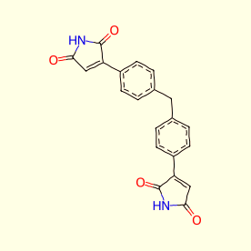 O=C1C=C(c2ccc(Cc3ccc(C4=CC(=O)NC4=O)cc3)cc2)C(=O)N1